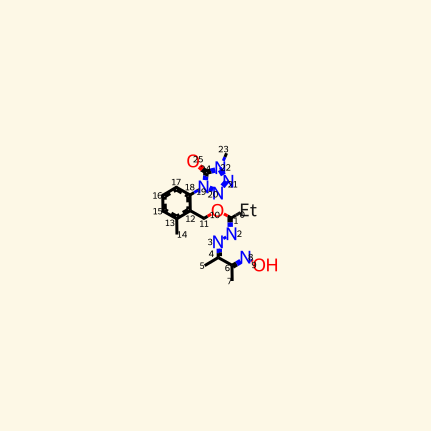 CC/C(=N/N=C(C)C(C)=NO)OCc1c(C)cccc1-n1nnn(C)c1=O